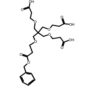 O=C(O)CCOCC(COCCC(=O)O)(COCCC(=O)O)COCCC(=O)OCc1ccccc1